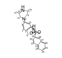 Cc1ccc(N2CC(C)NC(C)C2)cc1NS(=O)(=O)c1ccc2ccccc2c1